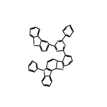 C1=CC2c3c(cccc3-c3nc(-c4ccccc4)nc(-c4ccc5sc6ccccc6c5c4)n3)OC2c2c1n(-c1ccccc1)c1ccccc21